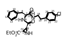 CCOC(=O)[C@H]1N[C@@H]1C(=O)N[C@@H](Cc1ccccc1)C(=O)NCCc1ccc(Cl)cc1